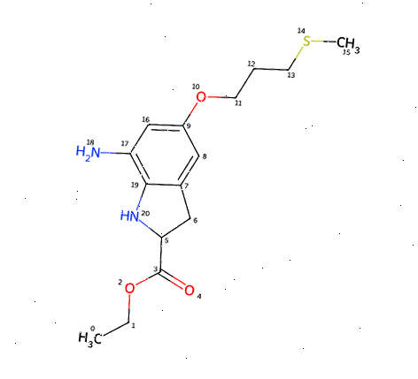 CCOC(=O)C1Cc2cc(OCCCSC)cc(N)c2N1